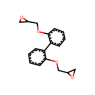 c1ccc(-c2ccccc2OCC2CO2)c(OCC2CO2)c1